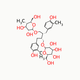 Cc1cc(C[C@@H](COC2O[C@H](CO)[C@@H](C)[C@H](O)[C@H]2O)[C@H](CO[C@@H]2O[C@H](CO)[C@@H](O)[C@H](O)[C@H]2O)Cc2ccc(O)c(C)c2)ccc1O